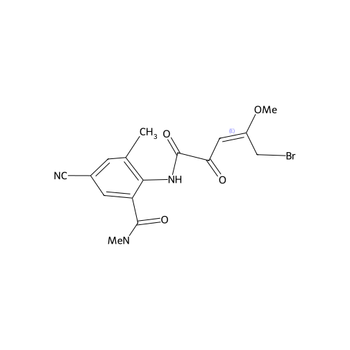 CNC(=O)c1cc(C#N)cc(C)c1NC(=O)C(=O)/C=C(\CBr)OC